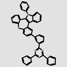 c1ccc(-c2nc(-c3ccccc3)nc(-c3cccc(-c4ccc5c(c4)-c4c(n(-c6ccccc6)c6ccccc46)-c4ccccc4S5)c3)n2)cc1